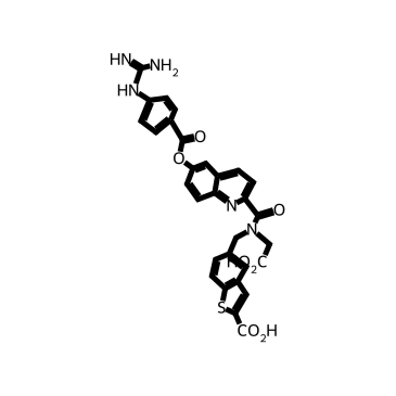 N=C(N)Nc1ccc(C(=O)Oc2ccc3nc(C(=O)N(CC(=O)O)Cc4ccc5sc(C(=O)O)cc5c4)ccc3c2)cc1